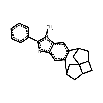 Cn1c(-c2ccccc2)nc2cc3c(cc21)C1CC2CC4CC3CC42C1